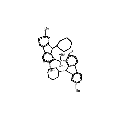 CCC[CH2][Zr]([CH2]CCC)([c]1c(C(C)(C)C)ccc2c1C(C1CCCCC1)c1cc(C(C)(C)C)ccc1-2)[c]1c(C(C)(C)C)ccc2c1C(C1CCCCC1)c1cc(C(C)(C)C)ccc1-2